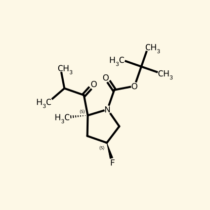 CC(C)C(=O)[C@]1(C)C[C@H](F)CN1C(=O)OC(C)(C)C